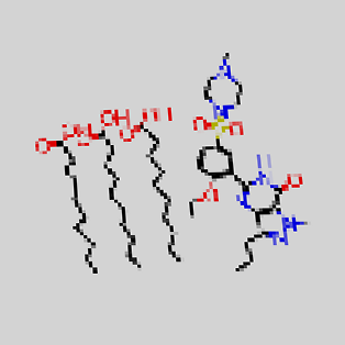 CCCCCCCCCC(=O)O.CCCCCCCCCC(=O)O.CCCCCCCCCC(=O)O.CCCc1nn(C)c2c(=O)[nH]c(-c3cc(S(=O)(=O)N4CCN(C)CC4)ccc3OCC)nc12